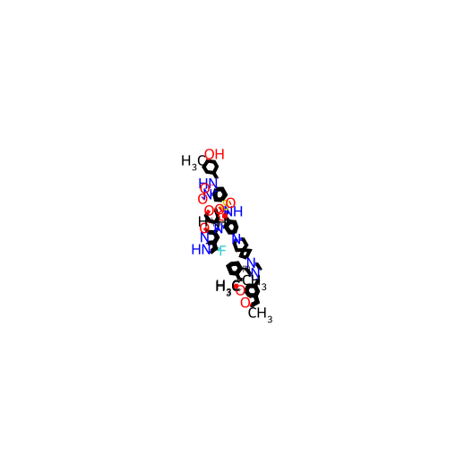 COc1cc(CN2CCN(C3CC4(CCN(c5ccc(C(=O)NS(=O)(=O)c6ccc(NCC7CCC(C)(O)CC7)c([N+](=O)[O-])c6)c(N6c7cc8c(F)c[nH]c8nc7O[C@H]7COCC[C@@H]76)c5)CC4)C3)[C@H](c3ccccc3C(C)C)C2)cc2cc(C)oc12